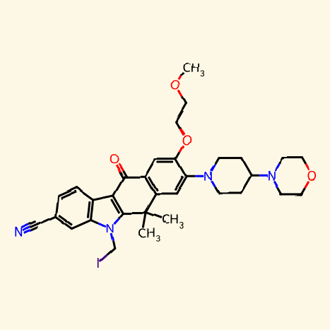 COCCOc1cc2c(cc1N1CCC(N3CCOCC3)CC1)C(C)(C)c1c(c3ccc(C#N)cc3n1CI)C2=O